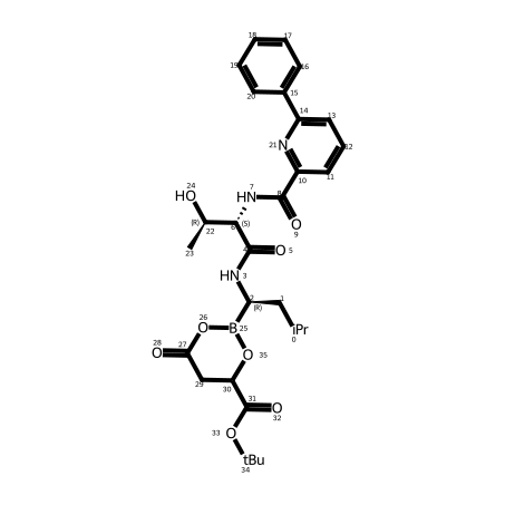 CC(C)C[C@H](NC(=O)[C@@H](NC(=O)c1cccc(-c2ccccc2)n1)[C@@H](C)O)B1OC(=O)CC(C(=O)OC(C)(C)C)O1